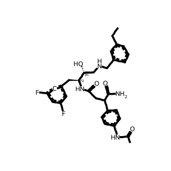 CCc1cccc(CNC[C@@H](O)[C@H](Cc2cc(F)cc(F)c2)NC(=O)CC(C(N)=O)c2ccc(NC(C)=O)cc2)c1